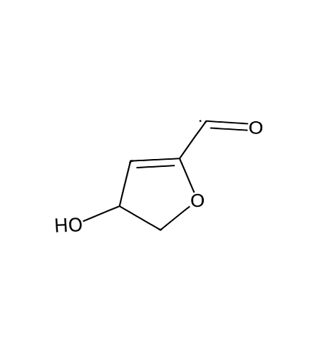 O=[C]C1=CC(O)CO1